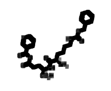 N[C@@H](CCCCNC(=O)OCc1ccccc1)C(=O)N[C@H](CCC(=O)OC(=O)c1cccnc1)C(=O)O